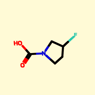 O=C(O)N1CCC(F)C1